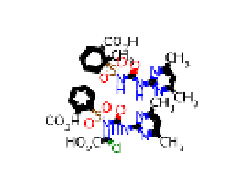 Cc1cc(C)nc(NC(=O)NS(=O)(=O)C2(C)C=CC=CC2C(=O)O)n1.Cc1cc(C)nc(NC(=O)NS(=O)(=O)c2ccccc2C(=O)O)n1.O=C(O)CCl